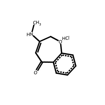 CNC1=CC(=O)c2ccccc2OC1.Cl